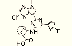 O=C(O)C1C2CCC(CC2)C1Nc1cc(-c2ccc(F)s2)nc(-c2c[nH]c3ncc(Cl)nc23)n1